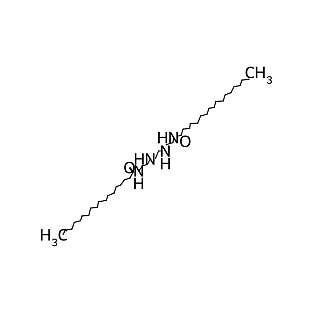 CCCCCCCCCCCCCCCCCC(=O)NCCNCCNCCNC(=O)CCCCCCCCCCCCCCCCC